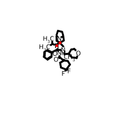 CC(C)N1C(=O)N(CC2CCOCC2)CC12CC1CCC(C2)N1CC[C@H](NC(=O)C1(C)CCC(F)(F)CC1)c1ccccc1